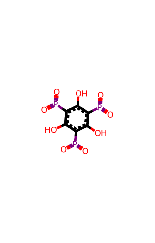 O=P(=O)c1c(O)c(P(=O)=O)c(O)c(P(=O)=O)c1O